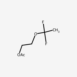 CC(=O)OCCOC(C)(F)F